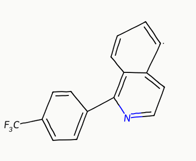 FC(F)(F)c1ccc(-c2nccc3[c]cccc23)cc1